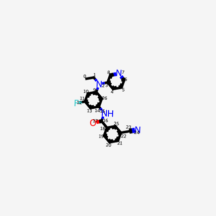 CCN(c1cccnc1)c1cc(F)cc(NC(=O)c2cccc(C#N)c2)c1